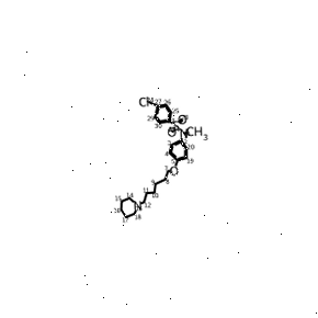 CN(c1ccc(OCCCCCCN2CCCCC2)cc1)S(=O)(=O)c1ccc(Cl)cc1